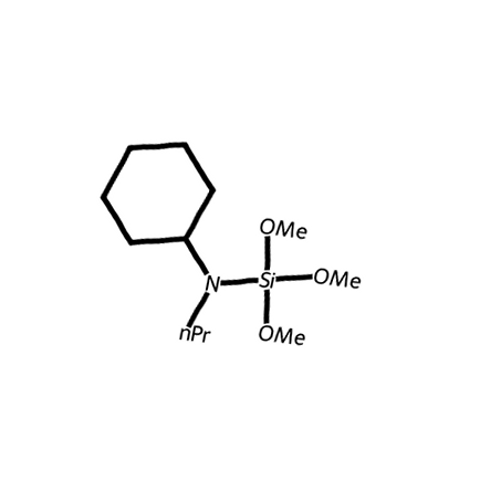 CCCN(C1CCCCC1)[Si](OC)(OC)OC